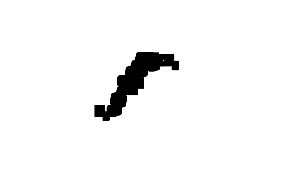 COc1ccc(CNC(=O)Nc2ccc(CN(C)C(=O)c3ccc(C)nc3)cc2)cc1